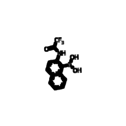 O=C(Nc1ccc2ccccc2c1B(O)O)C(F)(F)F